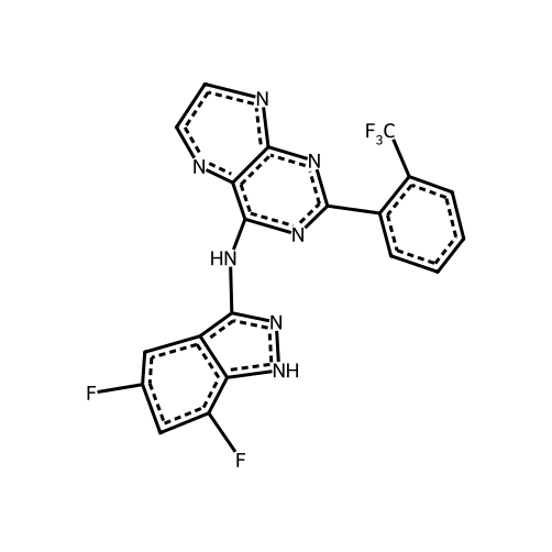 Fc1cc(F)c2[nH]nc(Nc3nc(-c4ccccc4C(F)(F)F)nc4nccnc34)c2c1